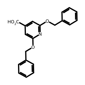 O=C(O)c1cc(OCc2ccccc2)nc(OCc2ccccc2)c1